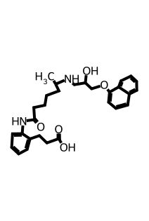 CC(CCCCC(=O)Nc1ccccc1CCC(=O)O)NCC(O)COc1cccc2ccccc12